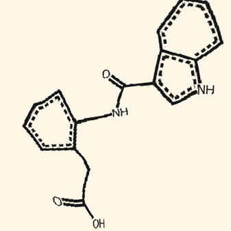 O=C(O)Cc1ccccc1NC(=O)c1c[nH]c2ccccc12